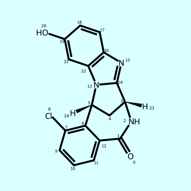 O=C1N[C@@H]2C[C@H](c3c(Cl)cccc31)n1c2nc2ccc(O)cc21